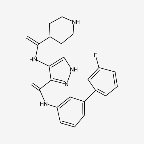 C=C(Nc1cccc(-c2cccc(F)c2)c1)c1n[nH]cc1NC(=C)C1CCNCC1